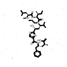 C=C(O)[C@@H](C)C[C@H](Cc1ccccc1)NC(=O)c1csc([C@H](O)C[C@H](C(C)C)N(CCC)C(=O)[C@@H](NC(=O)[C@H](CC(C)C)NC)[C@@H](C)CC)n1